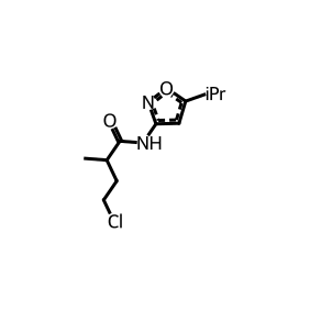 CC(CCCl)C(=O)Nc1cc(C(C)C)on1